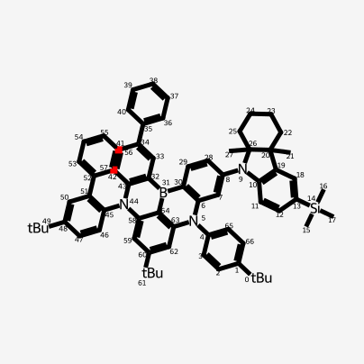 CC(C)(C)c1ccc(N2c3cc(N4c5ccc([Si](C)(C)C)cc5C5(C)CCCCC45C)ccc3B3c4cc(-c5ccccc5)ccc4N(c4ccc(C(C)(C)C)cc4-c4ccccc4)c4cc(C(C)(C)C)cc2c43)cc1